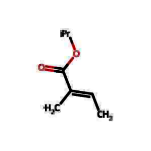 [CH2]C(=CC)C(=O)OC(C)C